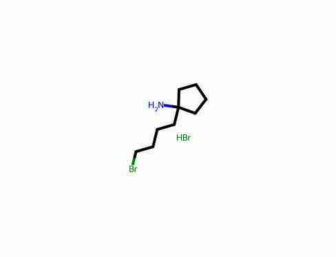 Br.NC1(CCCCBr)CCCC1